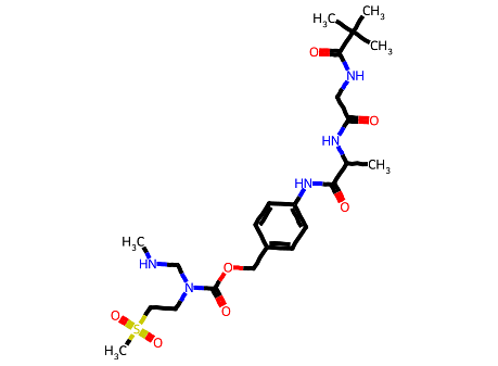 CNCN(CCS(C)(=O)=O)C(=O)OCc1ccc(NC(=O)C(C)NC(=O)CNC(=O)C(C)(C)C)cc1